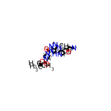 CN(c1ncnc2c1ccn2C(=O)N1CCN(C(=O)OC(C)(C)C)CC1)[C@H]1CNCC[C@@H]1CC(=O)CC#N